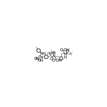 CC(=O)N1Cc2cc(NC(=C[N+](=O)[O-])Nc3ccc(C)cc3)ccc2C1C(=O)NC(Cc1ccccc1CC(NC(=O)CC(C)(C)C)C(=O)O)C(=O)O